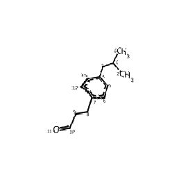 CC(C)Cc1ccc(CCC=O)cc1